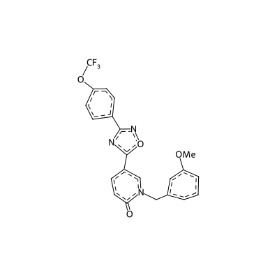 COc1cccc(Cn2cc(-c3nc(-c4ccc(OC(F)(F)F)cc4)no3)ccc2=O)c1